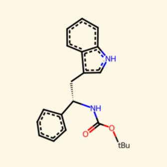 CC(C)(C)OC(=O)N[C@@H](Cc1c[nH]c2ccccc12)c1ccccc1